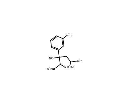 CCCCCC(CCC)C(C#N)(CC(CCC)OC(C)=O)c1cccc(C(F)(F)F)c1